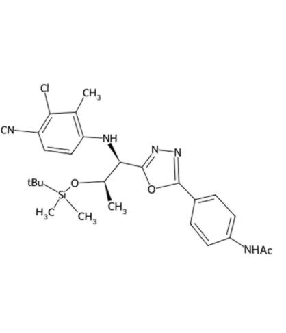 [C-]#[N+]c1ccc(N[C@@H](c2nnc(-c3ccc(NC(C)=O)cc3)o2)[C@@H](C)O[Si](C)(C)C(C)(C)C)c(C)c1Cl